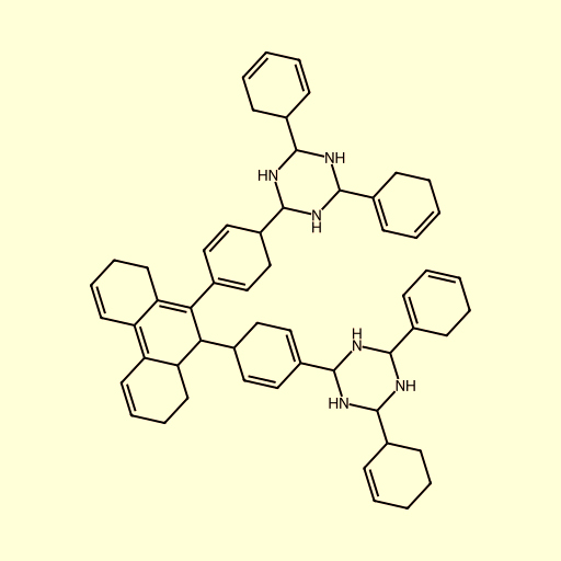 C1=CCCC(C2NC(C3=CCC(C4C(C5=CCC(C6NC(C7=CC=CCC7)NC(C7C=CC=CC7)N6)C=C5)=C5CCC=CC5=C5C=CCCC54)C=C3)NC(C3C=CCCC3)N2)=C1